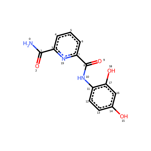 NC(=O)c1cccc(C(=O)Nc2ccc(O)cc2O)n1